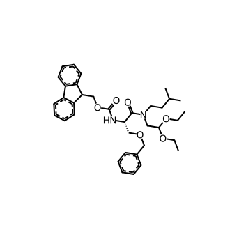 CCOC(CN(CCC(C)C)C(=O)[C@H](COCc1ccccc1)NC(=O)OCC1c2ccccc2-c2ccccc21)OCC